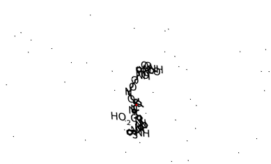 Cc1c(Nc2nc3ccccc3s2)nnc2c1CCCN2c1ccc(-c2cnn(CC34CC5(C)CC(C)(C3)CC(OCCN(C)CCOCCOCCNc3cccc6c3C(=O)N(C3CCC(=O)NC3=O)C6=O)(C5)C4)c2C)c(C(=O)O)n1